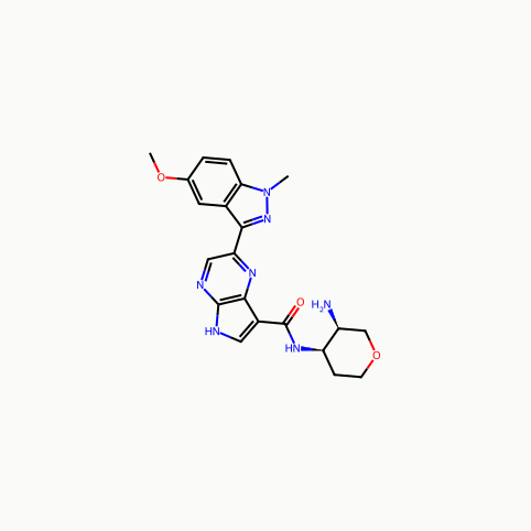 COc1ccc2c(c1)c(-c1cnc3[nH]cc(C(=O)N[C@@H]4CCOC[C@@H]4N)c3n1)nn2C